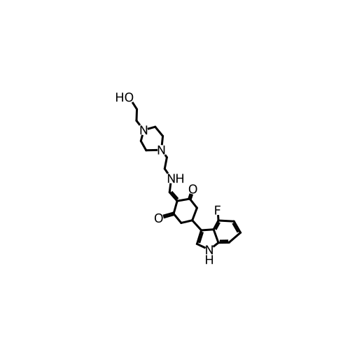 O=C1CC(c2c[nH]c3cccc(F)c23)CC(=O)C1=CNCCN1CCN(CCO)CC1